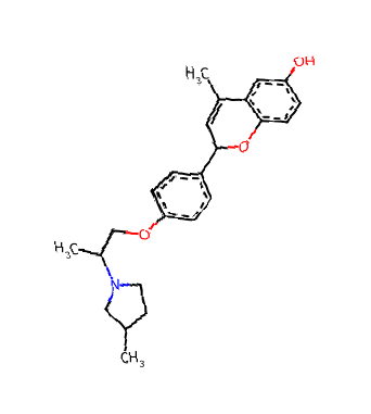 CC1=CC(c2ccc(OCC(C)N3CCC(C)C3)cc2)Oc2ccc(O)cc21